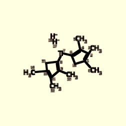 CC1=C(C)C(C)=[C]([Ti][C]2=C(C)C(C)=C(C)C2)C1.[H-].[H-]